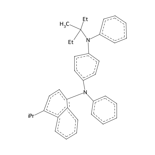 CCC(C)(CC)N(c1ccccc1)c1ccc(N(c2ccccc2)c2ccc(C(C)C)c3ccccc23)cc1